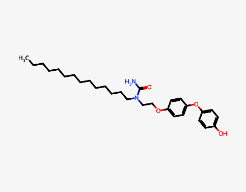 CCCCCCCCCCCCCCN(CCOc1ccc(Oc2ccc(O)cc2)cc1)C(N)=O